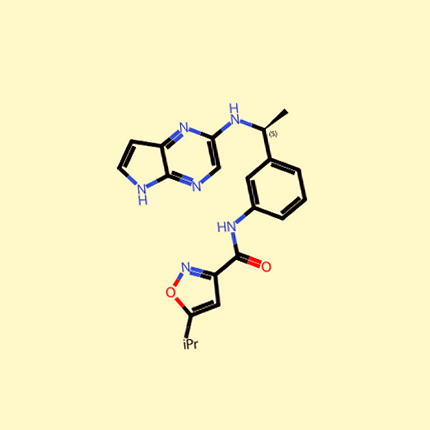 CC(C)c1cc(C(=O)Nc2cccc([C@H](C)Nc3cnc4[nH]ccc4n3)c2)no1